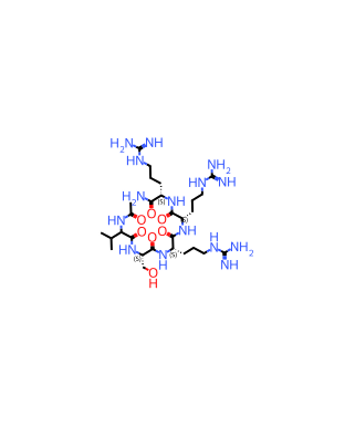 CC(=O)NC(C(=O)N[C@@H](CO)C(=O)N[C@@H](CCCNC(=N)N)C(=O)N[C@@H](CCCNC(=N)N)C(=O)N[C@@H](CCCNC(=N)N)C(N)=O)C(C)C